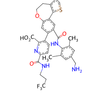 Cc1cc(CN)cc(C)c1NC(=O)c1cc2c(cc1-c1ccc(C(=O)NCCC(F)(F)F)nc1C(=O)O)OCCc1ccsc1-2